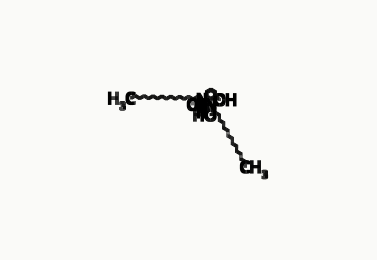 CCCCCCCCCCCCCCC(O)CNc1cccc(O)c1NCC(O)CCCCCCCCCCCCCC